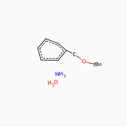 CC(C)(C)OCc1ccccc1.N.O